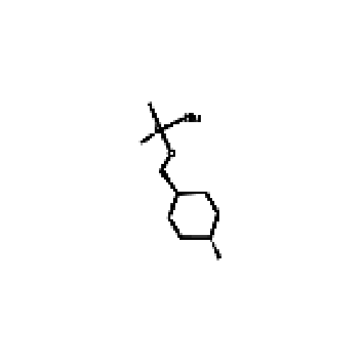 CC(C)(C)[Si](C)(C)OC[C@H]1CC[C@H](C)CC1